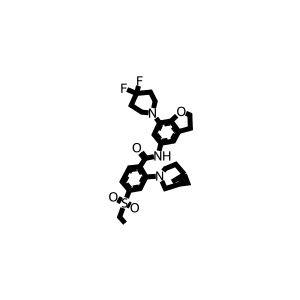 CCS(=O)(=O)c1ccc(C(=O)Nc2cc3c(c(N4CCC(F)(F)CC4)c2)OCC3)c(N2CCC3(C)CC3C2)c1